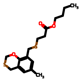 CCCCOC(=O)CCSCc1cc(C)cc2c1OCSC2